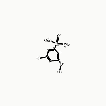 CCOc1cc(Br)cc(P(=O)(OC)OC)c1